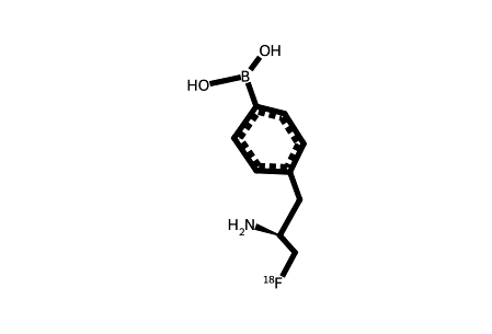 N[C@H](C[18F])Cc1ccc(B(O)O)cc1